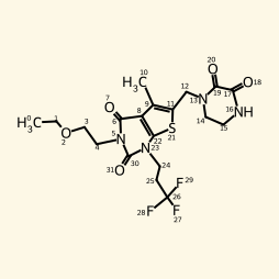 CCOCCn1c(=O)c2c(C)c(CN3CCNC(=O)C3=O)sc2n(CCC(F)(F)F)c1=O